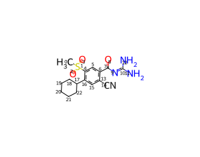 CS(=O)(=O)c1cc(C(=O)N=C(N)N)c(C#N)cc1C1CCCCC1